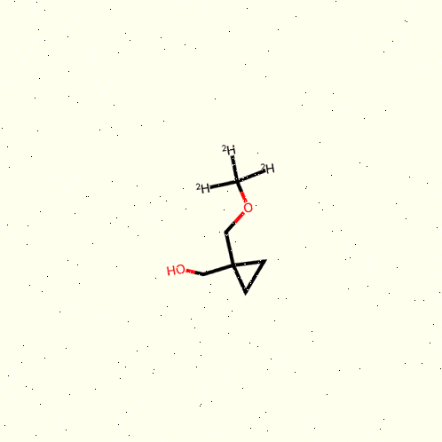 [2H]C([2H])([2H])OCC1(CO)CC1